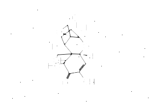 CC1=C[C@H]2O[C@@H]3CC[C@H](C2(CO)C(O)C1=O)[C@@]31O[C@@H]1C